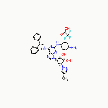 Cc1cnn([C@H]2C[C@@H](n3cnc4c(NCC(c5ccccc5)c5ccccc5)nc(NC5CCC(N)CC5)nc43)[C@H](O)[C@@H]2O)c1.O=C(O)C(F)(F)F